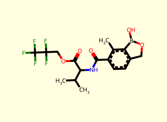 Cc1c(C(=O)NC(C(=O)OCC(F)(F)C(F)(F)F)C(C)C)ccc2c1B(O)OC2